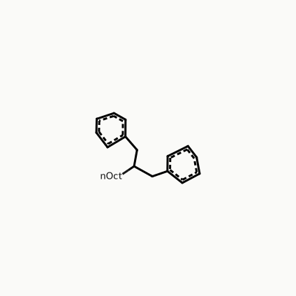 CCCCCCCCC(Cc1ccccc1)Cc1ccccc1